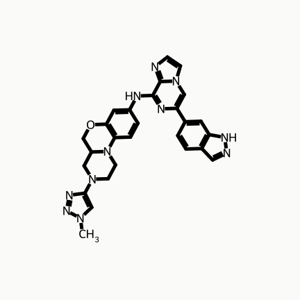 Cn1cc(N2CCN3c4ccc(Nc5nc(-c6ccc7cn[nH]c7c6)cn6ccnc56)cc4OCC3C2)nn1